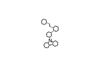 C(=C\c1ccccc1-c1cccc(-n2c3ccccc3c3ccccc32)c1)/c1ccccc1